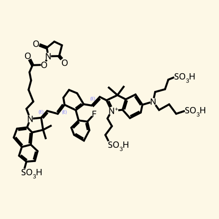 CC1(C)C(/C=C/C2=C(c3ccccc3F)C(=C/C=C3/N(CCCCCC(=O)ON4C(=O)CCC4=O)c4ccc5cc(S(=O)(=O)O)ccc5c4C3(C)C)/CCC2)=[N+](CCCS(=O)(=O)O)c2ccc(N(CCCS(=O)(=O)O)CCCS(=O)(=O)O)cc21